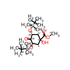 COC(=O)C1(O)C[C@@H](O[Si](C)(C)C(C)(C)C)C(=O)[C@H](O[Si](C)(C)C(C)(C)C)C1